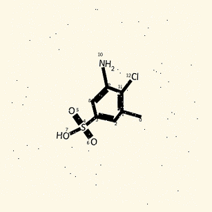 Cc1cc(S(=O)(=O)O)cc(N)c1Cl